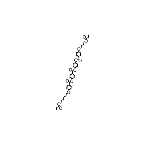 C=CC(=O)OCCCCCCOc1ccc(C(=O)Oc2ccc(C(=O)OC3=CC=C(OC(=O)c4ccc(OCCCCOC(=O)C=C)cc4)CC3)cc2)cc1